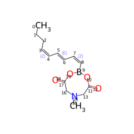 CCC\C=C/C=C/C=C\B1OC(=O)CN(C)CC(=O)O1